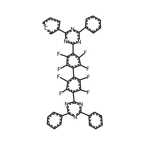 Fc1c(F)c(-c2c(F)c(F)c(-c3nc(-c4ccccc4)nc(-c4ccccc4)n3)c(F)c2F)c(F)c(F)c1-c1nc(-c2ccccc2)nc(-c2ccccc2)n1